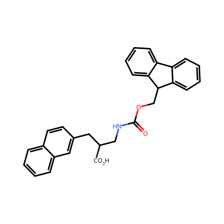 O=C(NCC(Cc1ccc2ccccc2c1)C(=O)O)OCC1c2ccccc2-c2ccccc21